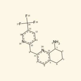 NC1CCCc2ccc(Cc3ccc(C(F)(F)F)cn3)nc21